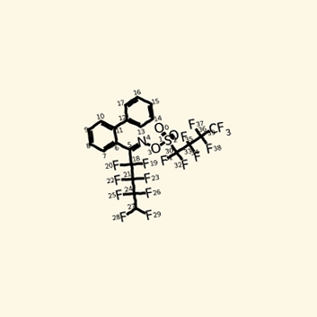 O=S(=O)(ON=C(c1ccccc1-c1ccccc1)C(F)(F)C(F)(F)C(F)(F)C(F)F)C(F)(F)C(F)(F)C(F)(F)C(F)(F)F